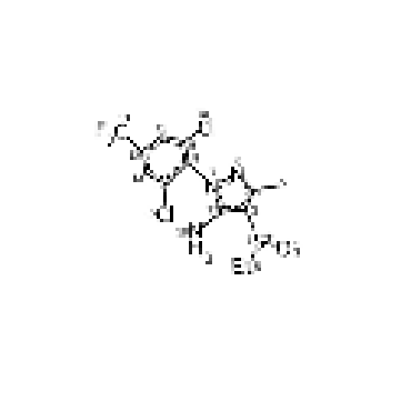 CC[S+]([O-])c1c(C)nn(-c2c(Cl)cc(C(F)(F)F)cc2Cl)c1N